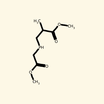 COC(=O)CPCC(C)C(=O)OC